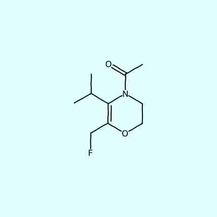 CC(=O)N1CCOC(CF)=C1C(C)C